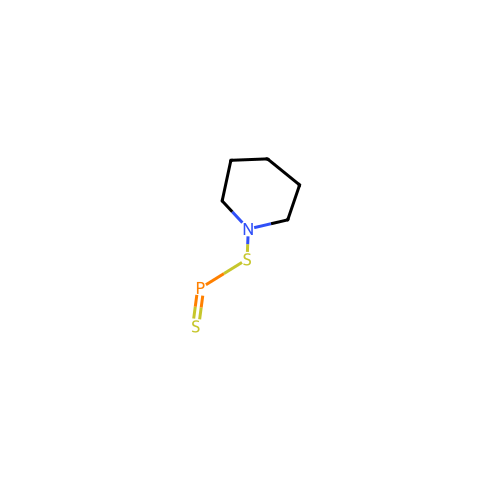 S=PSN1CCCCC1